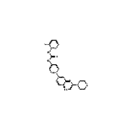 C=C1C=CC(c2ccc(NC(=O)Nc3ccccc3F)cc2)=C/C1=N/C(=C\N)N1CCOCC1